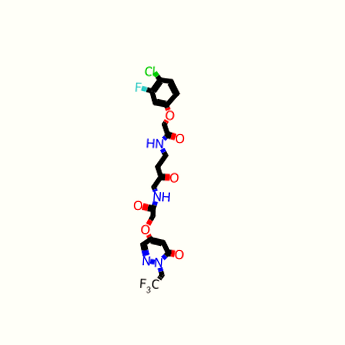 O=C(CCNC(=O)COc1ccc(Cl)c(F)c1)CNC(=O)COc1cnn(CC(F)(F)F)c(=O)c1